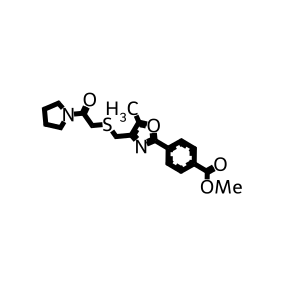 COC(=O)c1ccc(-c2nc(CSCC(=O)N3CCCC3)c(C)o2)cc1